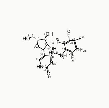 C[C@@]1(O)[C@H](O)[C@@H](CO)O[C@H]1c1c[nH]c(=O)nc1NNc1c(F)c(F)c(F)c(F)c1F